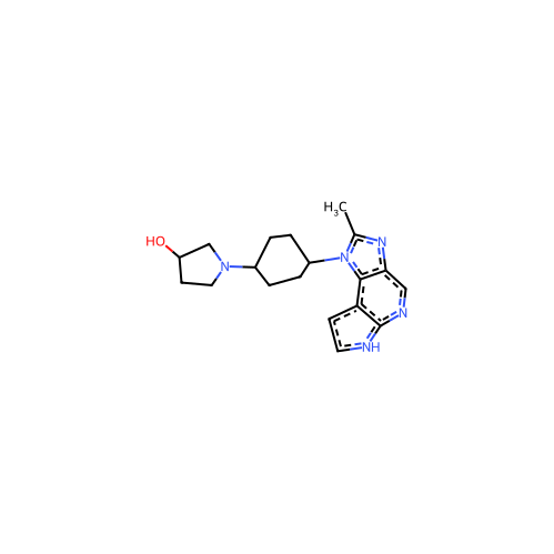 Cc1nc2cnc3[nH]ccc3c2n1C1CCC(N2CCC(O)C2)CC1